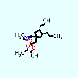 CCC[C@H]1CC(C#N)(CC(OCC)(OCC)OCC)C[C@@H]1CCC